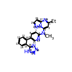 CCc1cc(N(C)c2ccc(-c3ccccc3-c3nnn[nH]3)cn2)n2nccc2n1